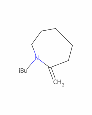 C=C1CCCCCN1C(C)CC